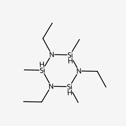 CCN1[SiH](C)N(CC)[SiH](C)N(CC)[SiH]1C